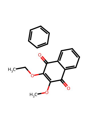 CCOC1=C(OC)C(=O)c2ccccc2C1=O.c1ccccc1